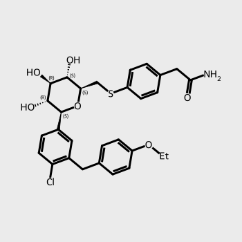 CCOc1ccc(Cc2cc([C@@H]3O[C@H](CSc4ccc(CC(N)=O)cc4)[C@@H](O)[C@H](O)[C@H]3O)ccc2Cl)cc1